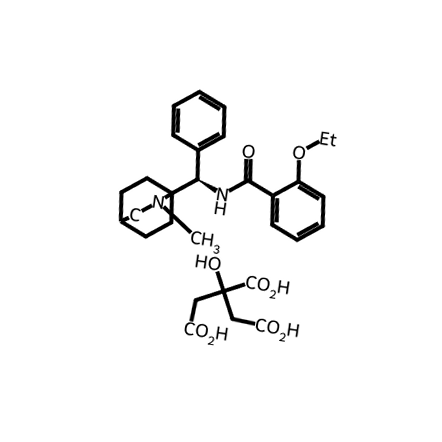 CCOc1ccccc1C(=O)N[C@H](c1ccccc1)C12CCC(CC1)CN2C.O=C(O)CC(O)(CC(=O)O)C(=O)O